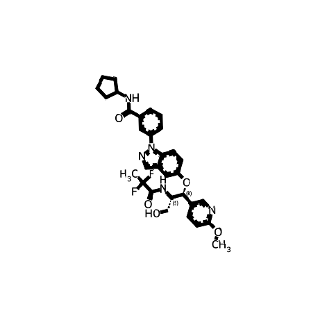 COc1ccc([C@@H](Oc2ccc3c(cnn3-c3cccc(C(=O)NC4CCCC4)c3)c2)[C@H](CO)NC(=O)C(C)(F)F)cn1